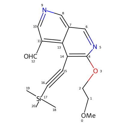 COCCOc1ncc2cncc(C=O)c2c1C#C[Si](C)(C)C